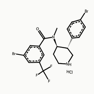 CN(C(=O)c1cc(Br)cc(C(F)(F)F)c1)[C@@H]1CCNC[C@H]1c1ccc(Br)cc1.Cl